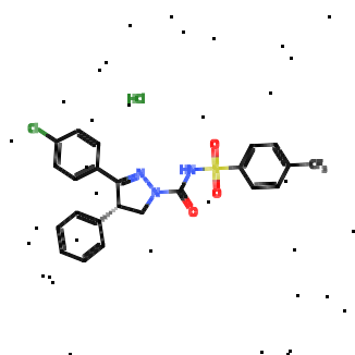 Cl.O=C(NS(=O)(=O)c1ccc(C(F)(F)F)cc1)N1C[C@H](c2ccccc2)C(c2ccc(Cl)cc2)=N1